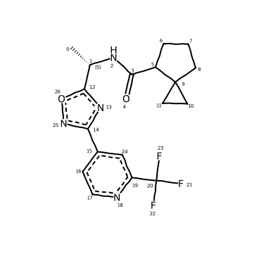 C[C@H](NC(=O)C1CCCC12CC2)c1nc(-c2ccnc(C(F)(F)F)c2)no1